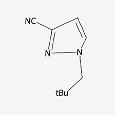 CC(C)(C)Cn1ccc(C#N)n1